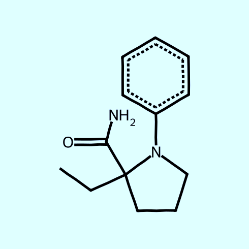 CCC1(C(N)=O)CCCN1c1ccccc1